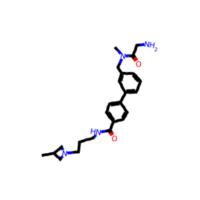 CC1CN(CCCNC(=O)c2ccc(-c3cccc(CN(C)C(=O)CN)c3)cc2)C1